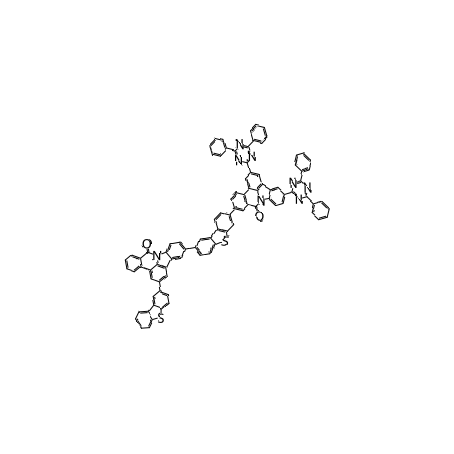 O=c1c2ccccc2c2cc(-c3ccc4sc5ccccc5c4c3)cc3c4cc(-c5ccc6sc7cc(-c8ccc9c(c8)c(=O)n8c%10ccc(-c%11nc(-c%12ccccc%12)nc(-c%12ccccc%12)n%11)cc%10c%10cc(-c%11nc(-c%12ccccc%12)nc(-c%12ccccc%12)n%11)cc9c%108)ccc7c6c5)ccc4n1c23